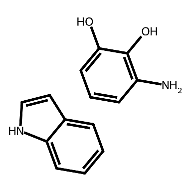 Nc1cccc(O)c1O.c1ccc2[nH]ccc2c1